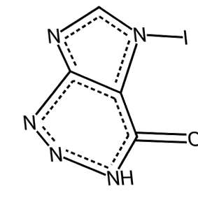 O=c1[nH]nnc2ncn(I)c12